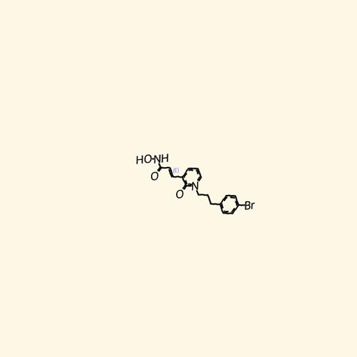 O=C(/C=C/c1cccn(CCCc2ccc(Br)cc2)c1=O)NO